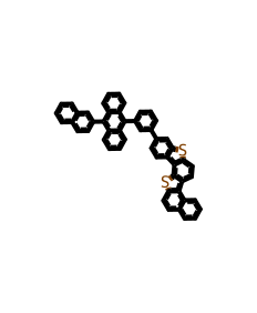 c1cc(-c2ccc3c(c2)sc2ccc4c(sc5ccc6ccccc6c54)c23)cc(-c2c3ccccc3c(-c3ccc4ccccc4c3)c3ccccc23)c1